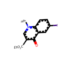 CCCn1cc(C(=O)OCC)c(=O)c2cc(I)ccc21